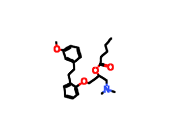 CCCCC(=O)OC(COc1ccccc1CCc1cccc(OC)c1)CN(C)C